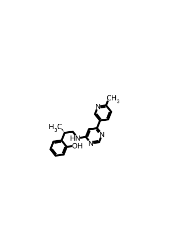 Cc1ccc(-c2cc(NC[C@@H](C)c3ccccc3O)ncn2)cn1